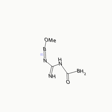 BC(=O)NC(=N)/N=B\OC